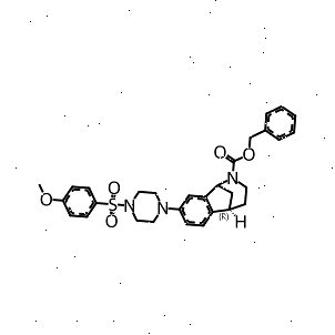 COc1ccc(S(=O)(=O)N2CCN(c3ccc4c(c3)C3C[C@H]4CCN3C(=O)OCc3ccccc3)CC2)cc1